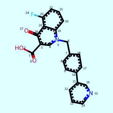 O=C(O)c1cn(Cc2ccc(-c3cccnc3)cc2)c2cccc(F)c2c1=O